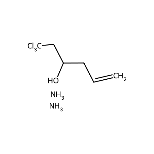 C=CCC(O)CC(Cl)(Cl)Cl.N.N